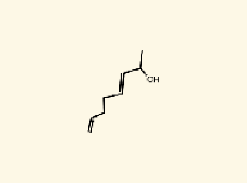 C=CCCC=CC(C)O